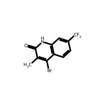 Cc1c(Br)c2ccc(C(F)(F)F)cc2[nH]c1=O